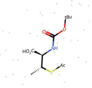 CC(=O)S[C@H](C)[C@H](NC(=O)OC(C)(C)C)C(=O)O